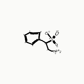 NCC(c1ccccc1)S(=O)(=O)Cl